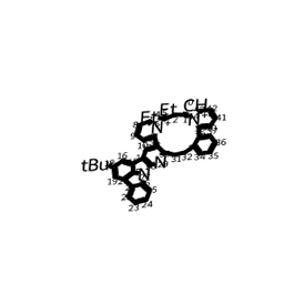 C=C1CC(CC)(CC)[n+]2ccccc2-c2cc3c4cc(C(C)(C)C)cc5c6ccccc6n(c3nc2CCc2ccccc2-c2cccc[n+]21)c54